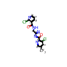 O=C(NCc1noc(-c2ncc(C(F)(F)F)cc2Cl)n1)c1cccnc1Cl